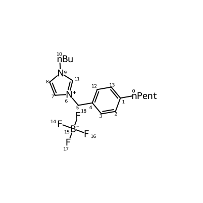 CCCCCc1ccc(C[n+]2ccn(CCCC)c2)cc1.F[B-](F)(F)F